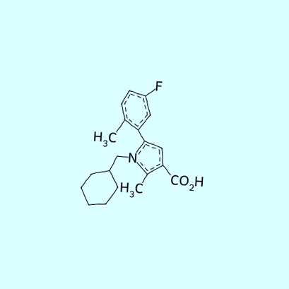 Cc1ccc(F)cc1-c1cc(C(=O)O)c(C)n1CC1CCCCC1